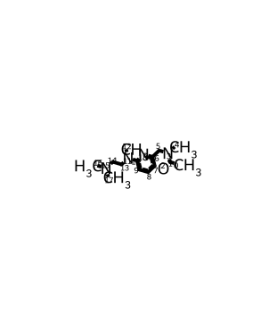 CC(=O)N(C)Cc1cccc(N(C)CCN(C)C)n1